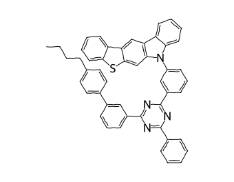 CCCCc1ccc(-c2cccc(-c3nc(-c4ccccc4)nc(-c4cccc(-n5c6ccccc6c6cc7c(cc65)sc5ccccc57)c4)n3)c2)cc1